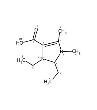 CCC1N(C)C(C)=C(C(=O)O)N1CC